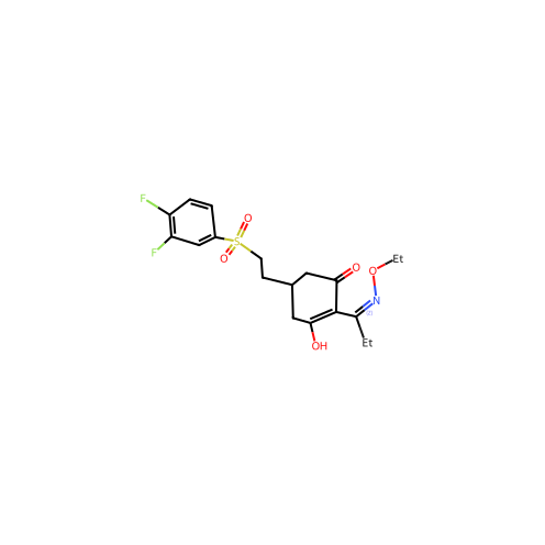 CCO/N=C(/CC)C1=C(O)CC(CCS(=O)(=O)c2ccc(F)c(F)c2)CC1=O